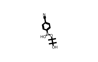 CC(C)(O)C(C)(C)OB(O)c1ccc(C#N)cc1